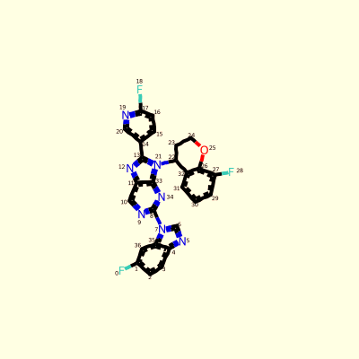 Fc1ccc2ncn(-c3ncc4nc(-c5ccc(F)nc5)n(C5CCOc6c(F)cccc65)c4n3)c2c1